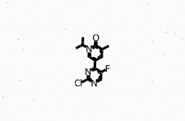 Cc1cc(-c2nc(Cl)ncc2F)cn(C(C)C)c1=O